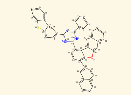 c1ccc(C2=NC(c3ccc4sc5ccccc5c4c3)NC(c3ccc(-c4ccc5ccccc5c4)c4oc5cc6ccccc6cc5c34)N2)cc1